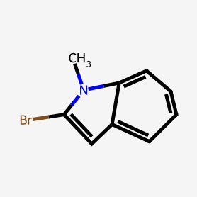 Cn1c(Br)cc2ccccc21